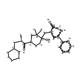 C[C@H](CC1CCCCC1)C(=O)N1CCC(O)(Cn2cc(-c3ccccn3)ncc2=O)C(C)(C)C1